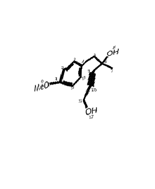 COc1ccc(CC(C)(O)C#CCO)cc1